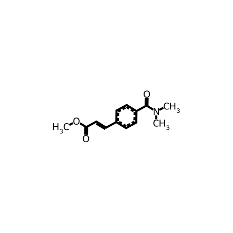 COC(=O)C=Cc1ccc(C(=O)N(C)C)cc1